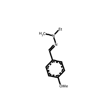 CCN(C)N=Cc1ccc(OC)cc1